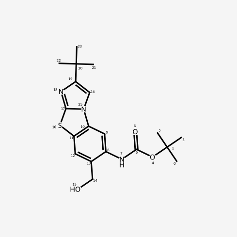 CC(C)(C)OC(=O)Nc1cc2c(cc1CO)sc1nc(C(C)(C)C)cn12